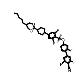 CCCCCC1COC(C2CCC(c3cc(F)c(C(F)(F)Oc4ccc(-c5cc(F)c(C#N)c(F)c5)c(F)c4)c(F)c3)CC2)OC1